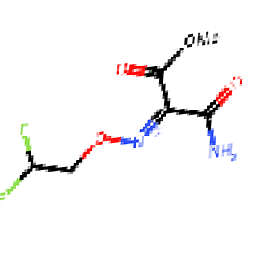 COC(=O)/C(=N\OCC(F)F)C(N)=O